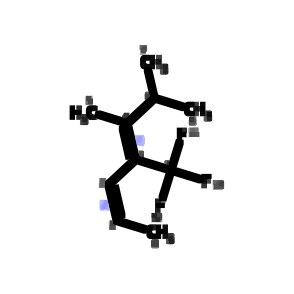 C/C=C\C(=C(/C)C(C)C)C(F)(F)F